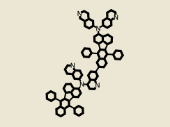 c1ccc(-c2c3c(c(-c4ccccc4)c4cc(-c5ccc6c(N(c7ccc8ncccc8c7)c7ccc8c9c(cccc79)-c7c-8c(-c8ccccc8)c8ccccc8c7-c7ccccc7)ccnc6c5)ccc24)-c2ccc(N(c4ccc5cnccc5c4)c4ccc5ncccc5c4)c4cccc-3c24)cc1